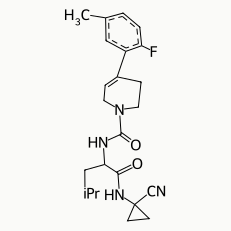 Cc1ccc(F)c(C2=CCN(C(=O)NC(CC(C)C)C(=O)NC3(C#N)CC3)CC2)c1